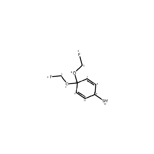 FCOC1(OCF)C=CC(S)C=C1